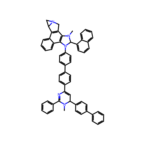 CN1C(c2ccccc2)=NC(c2ccc(-c3ccc(N4c5c(c6c(c7ccccc57)C5CN5C6)N(C)C4c4cccc5ccccc45)cc3)cc2)=CC1c1ccc(-c2ccccc2)cc1